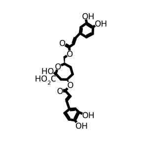 O=C(/C=C/c1ccc(O)c(O)c1)OC[C@H]1CC[C@@H](OC(=O)/C=C/c2ccc(O)c(O)c2)C[C@@](O)(C(=O)O)O1